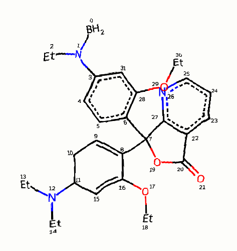 BN(CC)c1ccc(C2(C3=CCC(N(CC)CC)C=C3OCC)OC(=O)c3cccnc32)c(OCC)c1